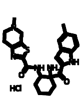 Cc1ccc2[nH]c(C(=O)C3(N)CCCCC3NC(=O)c3nc4c(s3)CN(C)CC4)cc2c1.Cl